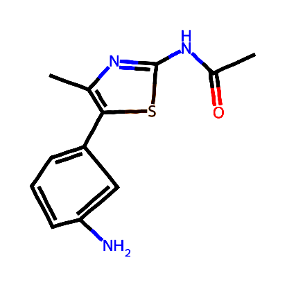 CC(=O)Nc1nc(C)c(-c2cccc(N)c2)s1